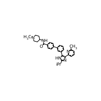 Cc1cccc(-c2nc(C(C)C)[nH]c2-c2cccc(-c3ccc(C(=O)NC4CCN(C)CC4)cc3)c2)n1